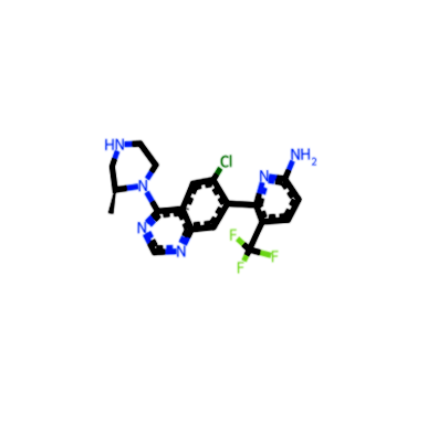 C[C@H]1CNCCN1c1ncnc2cc(-c3nc(N)ccc3C(F)(F)F)c(Cl)cc12